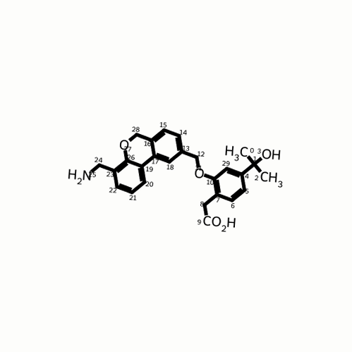 CC(C)(O)c1ccc(CC(=O)O)c(OCc2ccc3c(c2)-c2cccc(CN)c2OC3)c1